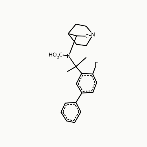 CC(C)(c1cc(-c2ccccc2)ccc1F)N(C(=O)O)C1CN2CCC1CC2